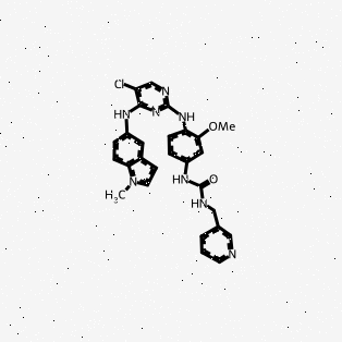 COc1cc(NC(=O)NCc2cccnc2)ccc1Nc1ncc(Cl)c(Nc2ccc3c(ccn3C)c2)n1